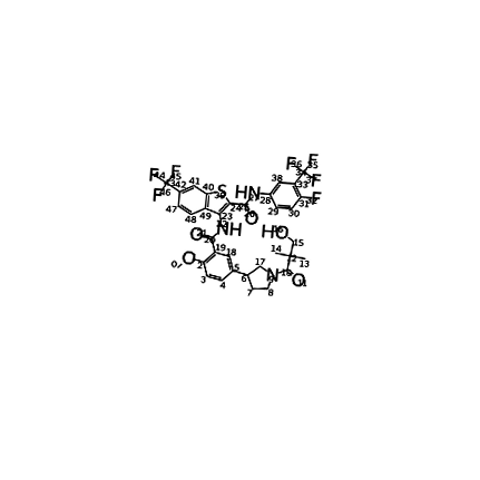 COc1ccc(C2CCN(C(=O)C(C)(C)CO)C2)cc1C(=O)Nc1c(C(=O)Nc2ccc(F)c(C(F)(F)F)c2)sc2cc(C(F)(F)F)ccc12